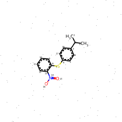 CC(C)c1ccc(Sc2ccccc2[N+](=O)[O-])cc1